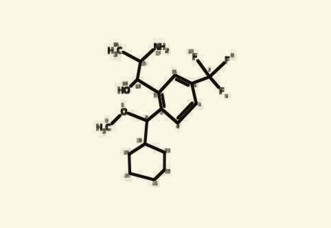 COC(c1ccc(C(F)(F)F)cc1C(O)C(C)N)C1CCCCC1